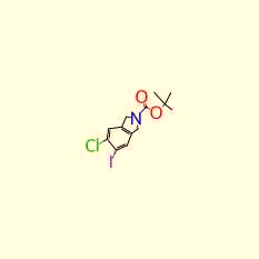 CC(C)(C)OC(=O)N1Cc2cc(Cl)c(I)cc2C1